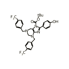 CC(C)(C)OC(=O)n1c(-c2ccc(O)cc2)nc2c1CN(Cc1ccc(C(F)(F)F)cc1)CN2Cc1ccc(C(F)(F)F)cc1